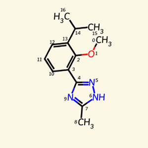 COc1c(-c2n[nH]c(C)n2)cccc1C(C)C